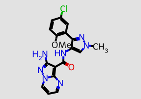 COc1ccc(Cl)cc1-c1nn(C)cc1NC(=O)c1c(N)nn2cccnc12